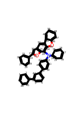 c1ccc(-c2cccc(-c3ccc(N(c4ccccc4)c4c5oc(-c6ccccc6)cc5cc5c4oc4ccccc45)cc3)c2)cc1